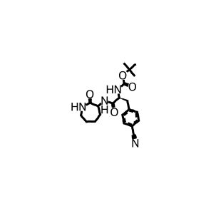 CC(C)(C)OC(=O)N[C@@H](Cc1ccc(C#N)cc1)C(=O)NC1CCCCNC1=O